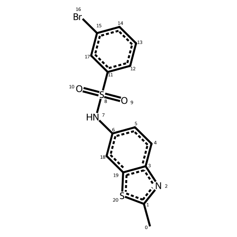 Cc1nc2ccc(NS(=O)(=O)c3cccc(Br)c3)cc2s1